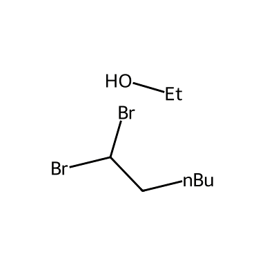 CCCCCC(Br)Br.CCO